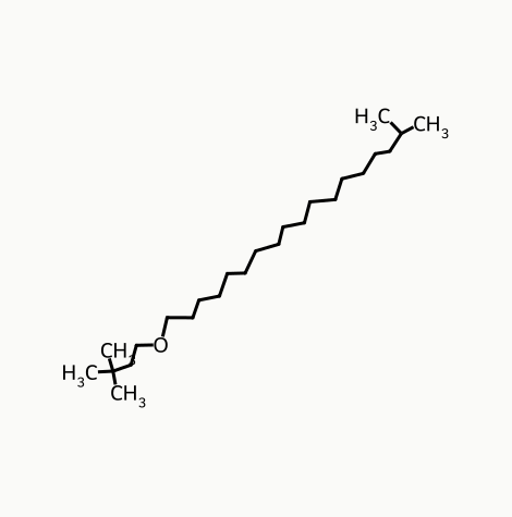 CC(C)CCCCCCCCCCCCCCCCOCCC(C)(C)C